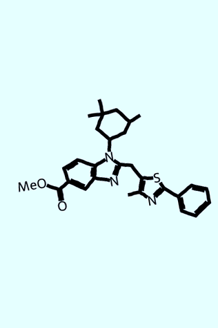 COC(=O)c1ccc2c(c1)nc(Cc1sc(-c3ccccc3)nc1C)n2C1CC(C)CC(C)(C)C1